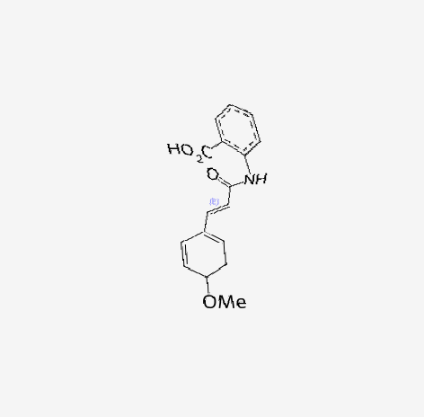 COC1C=CC(/C=C/C(=O)Nc2ccccc2C(=O)O)=CC1